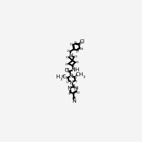 C[C@@H]1CN(c2ncc(C#N)cn2)C[C@H](C)N1C(=O)NC1CC2(C1)CN(Cc1ccc(Cl)cc1)C2